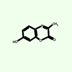 Cc1nc2ccc(O)cc2oc1=O